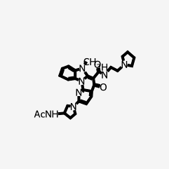 CC(=O)NC1CCN(c2ccc3c(=O)c(C(=O)NCCN4CCCC4)c4n(C)c5ccccc5n4c3n2)C1